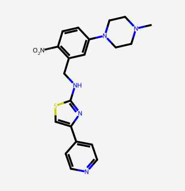 CN1CCN(c2ccc([N+](=O)[O-])c(CNc3nc(-c4ccncc4)cs3)c2)CC1